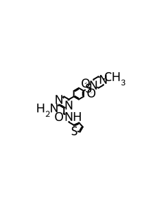 CN1CCN(S(=O)(=O)c2ccc(-c3cnc(N)c(C(=O)NCc4cccs4)n3)cc2)CC1